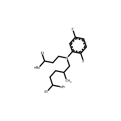 CCCCC(CC)CCN(CC(C)CCC(CC)CCC)c1cc(F)ccc1F